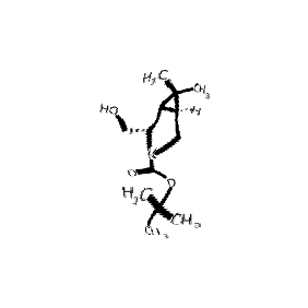 CC(C)(C)OC(=O)N1C[C@H]2C([C@H]1CO)C2(C)C